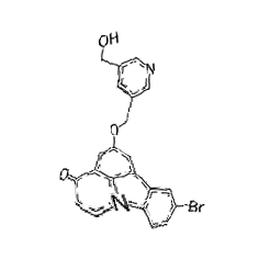 O=c1ccn2c3ccc(Br)cc3c3cc(OCc4cncc(CO)c4)cc1c32